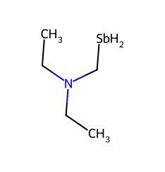 CCN(CC)[CH2][SbH2]